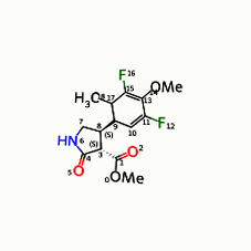 COC(=O)[C@@H]1C(=O)NC[C@H]1C1C=C(F)C(OC)=C(F)C1C